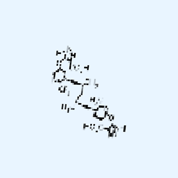 Cc1nc(Oc2[nH]nnc2C(=O)O)ccc1C#CC(C)CCC(C)C#Cc1cc(Oc2[nH]nnc2C(=O)O)cnc1C(F)(F)F